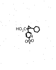 CS(=O)(=O)c1ccc(C2(C(=O)O)CC2C2CCCCC2)cn1